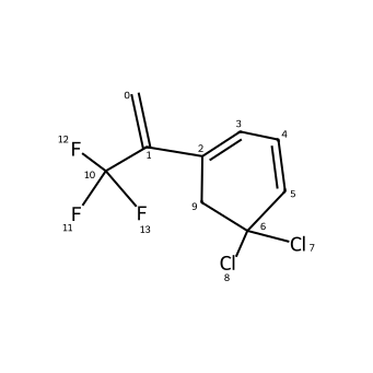 C=C(C1=CC=CC(Cl)(Cl)C1)C(F)(F)F